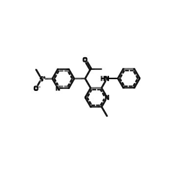 CC(=O)C(c1ccc([S+](C)[O-])nc1)c1ccc(C)nc1Nc1ccccc1